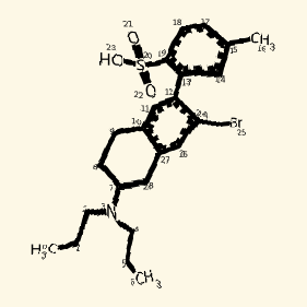 CCCN(CCC)C1CCc2cc(-c3cc(C)ccc3S(=O)(=O)O)c(Br)cc2C1